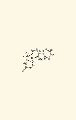 CC1(C)c2cc(I)ccc2-c2c1ccc1c2sc2ccccc21